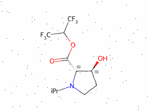 CC(C)N1CC[C@H](O)[C@H]1C(=O)OC(C(F)(F)F)C(F)(F)F